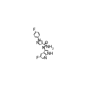 NS(=O)(=Nc1c[nH]c2ncc(F)cc12)c1cnn(-c2ccc(F)cc2)c1